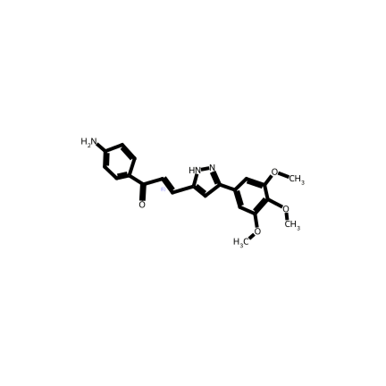 COc1cc(-c2cc(/C=C/C(=O)c3ccc(N)cc3)[nH]n2)cc(OC)c1OC